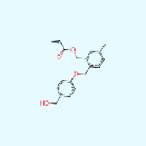 C=CC(=O)OCc1cc(C)ccc1COc1ccc(CO)cc1